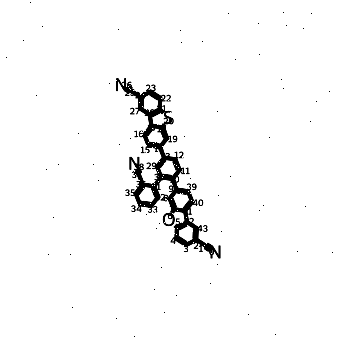 N#Cc1ccc2oc3cc(-c4ccc(-c5ccc6c(c5)sc5ccc(C#N)cc56)cc4-c4ccccc4C#N)ccc3c2c1